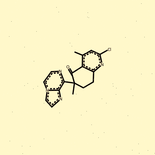 Cc1cc(Cl)nc2c1C(=O)C(C)(c1nccn3ccnc13)CC2